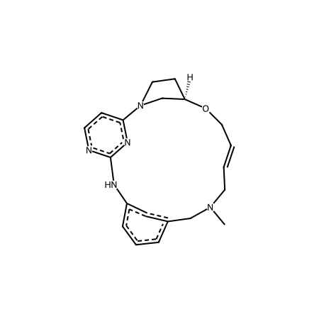 CN1C/C=C/CO[C@@H]2CCN(C2)c2ccnc(n2)Nc2cccc(c2)C1